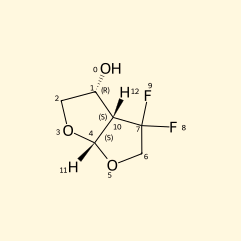 O[C@H]1CO[C@H]2OCC(F)(F)[C@H]21